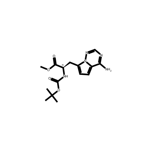 COC(=O)[C@@H](Cc1ccc2c(N)ncnn12)NC(=O)OC(C)(C)C